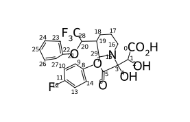 O=C(O)C(O)C(O)(C(=O)Oc1ccc(F)cc1)N1CCCC(C(Oc2ccccc2)C(F)(F)F)C1